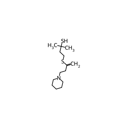 C=C(CCN1CCCCC1)SCCC(C)(C)S